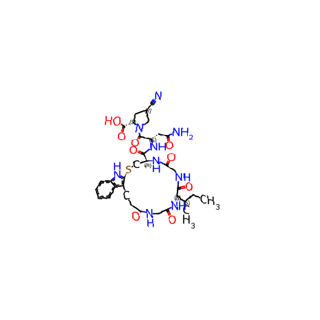 CC[C@H](C)[C@@H]1NC(=O)CNC(=O)CCc2c([nH]c3ccccc23)SC[C@@H](C(=O)N[C@@H](CC(N)=O)C(=O)N2C[C@H](C#N)C[C@H]2C(=O)O)NC(=O)CNC1=O